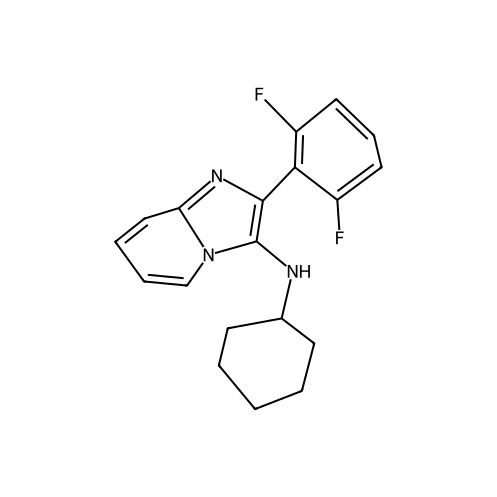 Fc1cccc(F)c1-c1nc2ccccn2c1NC1CCCCC1